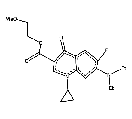 CCN(CC)c1cc2c(cc1F)c(=O)c(C(=O)OCCOC)cn2C1CC1